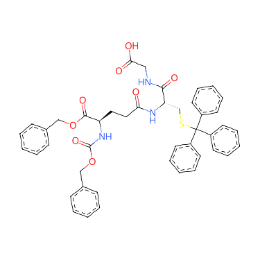 O=C(O)CNC(=O)[C@H](CSC(c1ccccc1)(c1ccccc1)c1ccccc1)NC(=O)CC[C@@H](NC(=O)OCc1ccccc1)C(=O)OCc1ccccc1